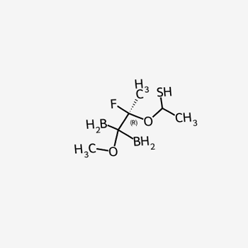 BC(B)(OC)[C@@](C)(F)OC(C)S